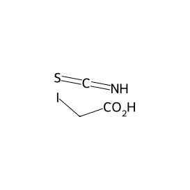 N=C=S.O=C(O)CI